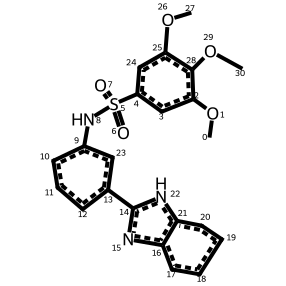 COc1cc(S(=O)(=O)Nc2cccc(-c3nc4ccccc4[nH]3)c2)cc(OC)c1OC